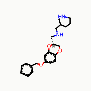 c1ccc(COc2ccc3c(c2)O[C@H](CNCC2CCCNC2)CO3)cc1